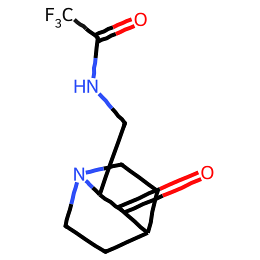 O=C1C2CCN(CC2)C1CNC(=O)C(F)(F)F